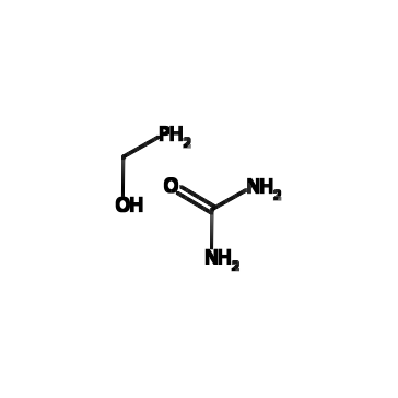 NC(N)=O.OCP